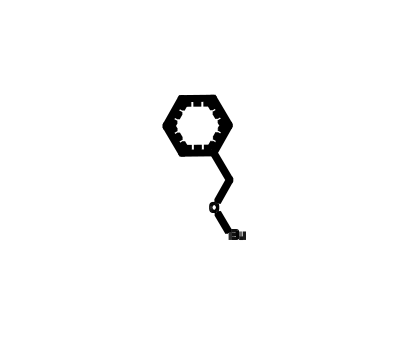 CCC(C)OCc1ccccc1